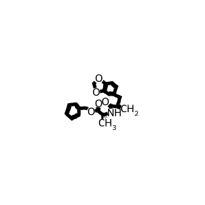 C=C(Cc1ccc2c(c1)OCO2)C(=O)N[C@@H](C)C(=O)OCc1ccccc1